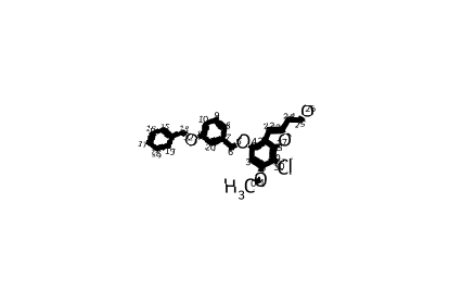 COc1cc(OCc2cccc(OCc3ccccc3)c2)c2cc(CC=O)oc2c1Cl